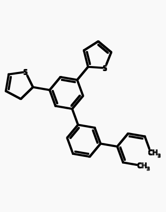 C/C=C\C(=C/C)c1cccc(-c2cc(-c3cccs3)cc(C3CC=CS3)c2)c1